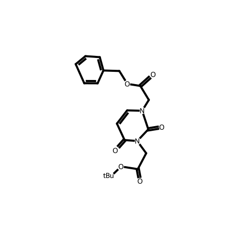 CC(C)(C)OC(=O)Cn1c(=O)ccn(CC(=O)OCc2ccccc2)c1=O